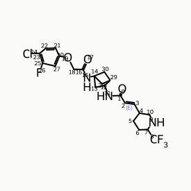 O=C(/C=C/C1CCC(C(F)(F)F)NC1)NC1CC2(NC(=O)COc3ccc(Cl)c(F)c3)CC1C2